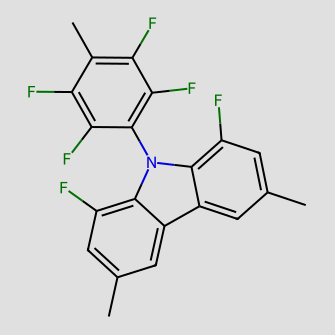 Cc1cc(F)c2c(c1)c1cc(C)cc(F)c1n2-c1c(F)c(F)c(C)c(F)c1F